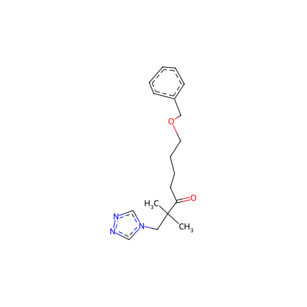 CC(C)(Cn1cnnc1)C(=O)CCCCOCc1ccccc1